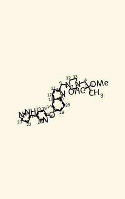 COC(C)(C=O)CN1CCN(Cc2ccc3cc(Oc4ccc(-c5ccn[nH]5)cn4)ccc3n2)CC1